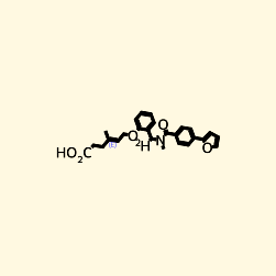 [2H]C(c1ccccc1OC/C=C(\C)CCC(=O)O)N(C)C(=O)c1ccc(-c2ccco2)cc1